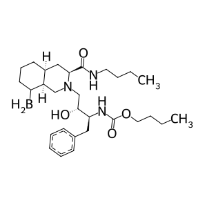 BC1CCC[C@H]2C[C@@H](C(=O)NCCCC)N(C[C@@H](O)[C@H](Cc3ccccc3)NC(=O)OCCCC)C[C@@H]12